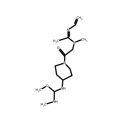 C=C/N=C(/C)N(C)CC(=O)N1CCC(NC(NC)OC)CC1